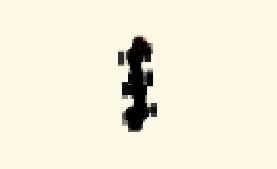 O=C(NCCCCNC(=O)NCCOCCOCCNS(=O)(=O)c1ccc(O[C@H]2c3cc(Cl)cc(F)c3C[C@@H]2N2CCCCC2)cc1)NCCOCCOCCNS(=O)(=O)c1ccc(O[C@H]2c3cc(Cl)cc(F)c3C[C@@H]2N2CCCCC2)cc1